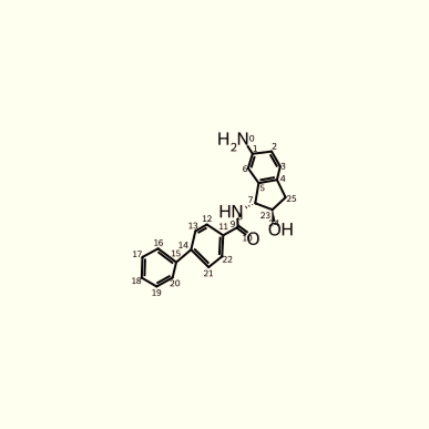 Nc1ccc2c(c1)[C@@H](NC(=O)c1ccc(-c3ccccc3)cc1)[C@H](O)C2